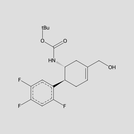 CC(C)(C)OC(=O)N[C@@H]1CC(CO)=CC[C@H]1c1cc(F)c(F)cc1F